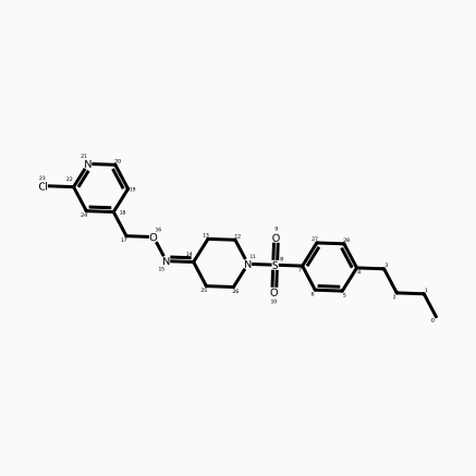 CCCCc1ccc(S(=O)(=O)N2CCC(=NOCc3ccnc(Cl)c3)CC2)cc1